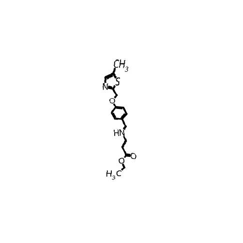 CCOC(=O)CCNCc1ccc(OCc2ncc(C)s2)cc1